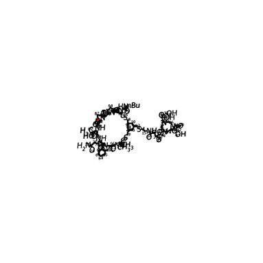 CCCCNC(=O)N[C@H]1CSCc2cc(CSCCNC(=O)CCP(=O)(O)CN3CCN(CP(=O)(O)CO)CCN(CP(=O)(O)CO)CC3)cc(c2)CSCC(C)(C)NC(=O)[C@H](Cc2ccccc2)NC(=O)[C@H](CCC(N)=O)NC(=O)[C@H]([C@@H](C)O)NC(=O)[C@@H]2CCCN2C(=O)[C@@H]2CCCN2C1=O